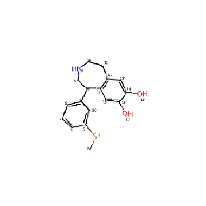 CSc1cccc(C2CNCCc3cc(O)c(O)cc32)c1